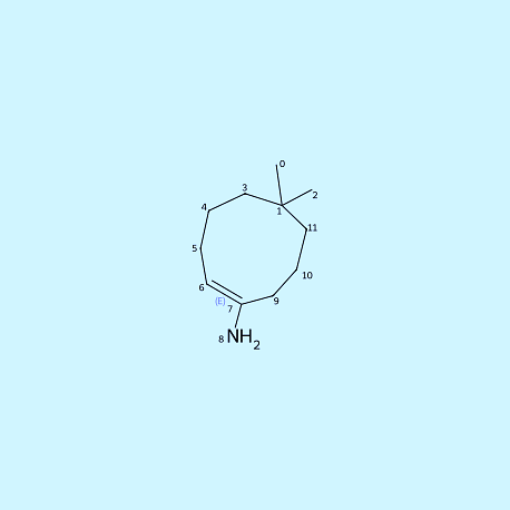 CC1(C)CCC/C=C(/N)CCC1